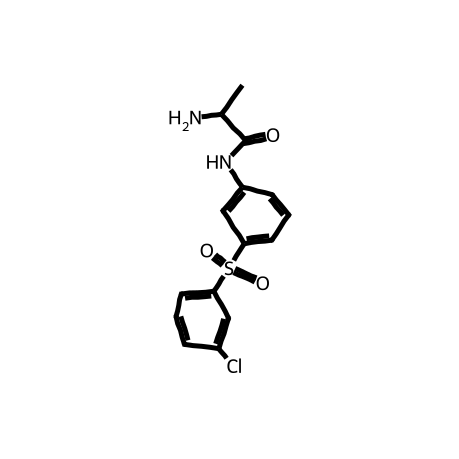 CC(N)C(=O)Nc1cccc(S(=O)(=O)c2cccc(Cl)c2)c1